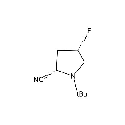 CC(C)(C)N1C[C@@H](F)C[C@H]1C#N